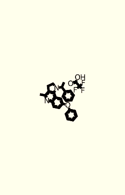 Cc1nc2ccc(Oc3ccccc3)cc2c2c1CCN2C(C)c1ccccc1.O=C(O)C(F)(F)F